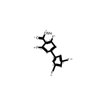 COC(=O)c1c(F)cc(-c2cc(F)cc(F)c2)cc1F